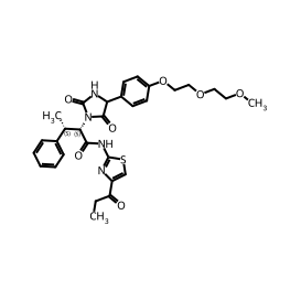 CCC(=O)c1csc(NC(=O)[C@H]([C@@H](C)c2ccccc2)N2C(=O)NC(c3ccc(OCCOCCOC)cc3)C2=O)n1